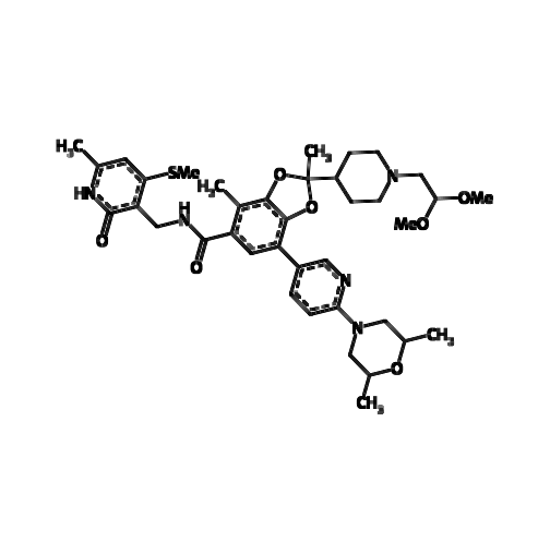 COC(CN1CCC(C2(C)Oc3c(-c4ccc(N5CC(C)OC(C)C5)nc4)cc(C(=O)NCc4c(SC)cc(C)[nH]c4=O)c(C)c3O2)CC1)OC